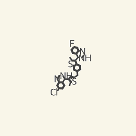 Cc1sc(Cc2ccc3c(C4NC=Nc5cc(F)ccc54)c(C)sc3c2)cc1C1NC=Nc2cc(Cl)ccc21